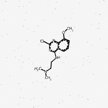 COc1cccc2c(NCCN(C)C)nc(Cl)nc12